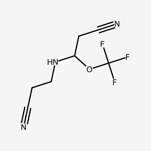 N#CCCNC(CC#N)OC(F)(F)F